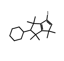 CC1(C)C=C(I)C2=C1C(C)(C)C(C1CCCCC1)C2(C)C